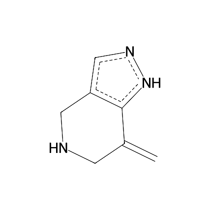 C=C1CNCc2cn[nH]c21